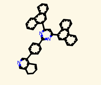 C1=Cc2c(cncc2-c2ccc(-c3nc(-c4cc5ccccc5c5ccccc45)cc(-c4cc5ccccc5c5ccccc45)n3)cc2)CC1